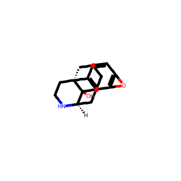 OC12CCCC[C@@]13CCN[C@@H]2Cc1c3ccc2c1O2